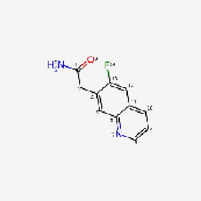 NC(=O)Cc1cc2ncccc2cc1F